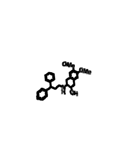 COc1cc2c(cc1OC)CC(NCCC(c1ccccc1)c1ccccc1)C(O)C2